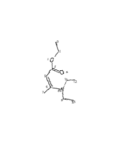 CCOC(=O)C=C(C)N(CC)CC